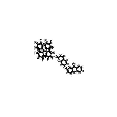 Fc1c(F)c(F)c([B-](c2c(F)c(F)c(F)c(F)c2F)(c2c(F)c(F)c(F)c(F)c2F)c2c(F)c(F)c(F)c(F)c2F)c(F)c1F.O=c1ccc2ccc([I+]c3ccc4oc5ccccc5c(=O)c4c3)cc2o1